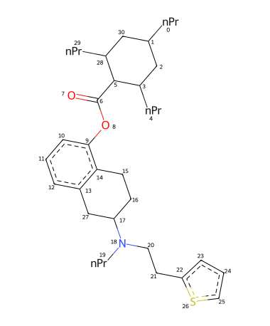 CCCC1CC(CCC)C(C(=O)Oc2cccc3c2CCC(N(CCC)CCc2cccs2)C3)C(CCC)C1